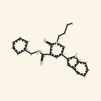 CCCCn1cc(-c2cc3ccccc3s2)cc(C(=O)NCc2ccccc2)c1=O